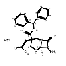 Cl.NC1C(=O)N2CC(C=C(Cl)Cl)(C(=O)OC(c3ccccc3)c3ccccc3)CS[C@H]12